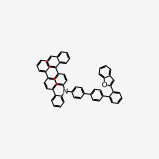 c1ccc(-c2ccc(-c3ccccc3N(c3ccc(-c4ccc(-c5ccccc5-c5cc6ccccc6o5)cc4)cc3)c3ccc(-c4cccc5ccccc45)cc3)cc2)cc1